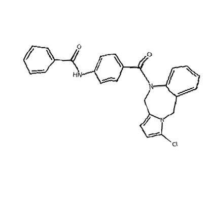 O=C(Nc1ccc(C(=O)N2Cc3ccc(Cl)n3Cc3ccccc32)cc1)c1ccccc1